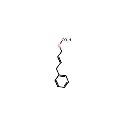 O=C(O)OCC=CCc1ccccc1